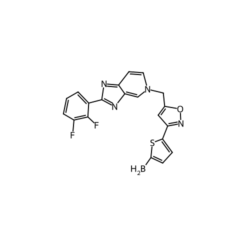 Bc1ccc(-c2cc(Cn3ccc4nc(-c5cccc(F)c5F)nc-4c3)on2)s1